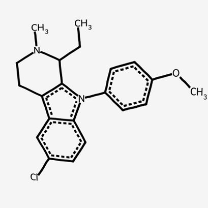 CCC1c2c(c3cc(Cl)ccc3n2-c2ccc(OC)cc2)CCN1C